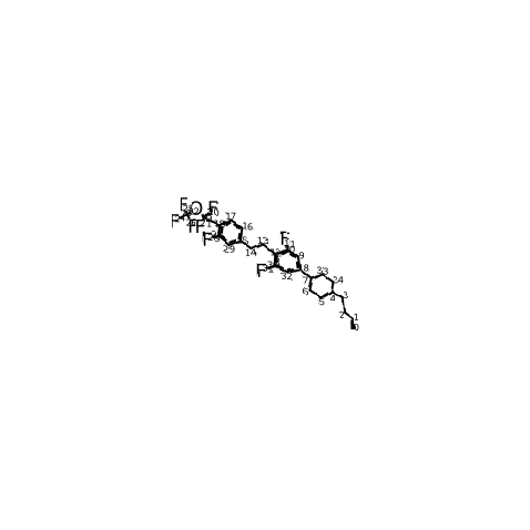 C=CCCC1CCC(c2cc(F)c(CCc3ccc(C(F)(F)OC(F)(F)F)c(F)c3)c(F)c2)CC1